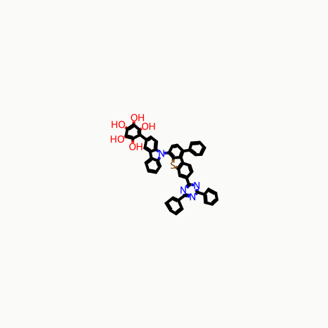 Oc1c(O)c(O)c(-c2ccc3c(c2)c2ccccc2n3-c2ccc(-c3ccccc3)c3c2sc2cc(-c4nc(-c5ccccc5)nc(-c5ccccc5)n4)ccc23)c(O)c1O